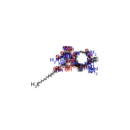 CCCCCCCCCCCCCCCC(=O)NS(=O)(=O)CCCC(=O)N[C@@H](CCC(=O)O)C(=O)N[C@@H](CO)C(=O)N[C@H](CCC(N)=O)C(=O)N[C@@H](Cc1c[nH]cn1)C(=O)N[C@@H](CCC(=O)O)C(=O)N[C@@H](CCCC)C(=O)N[C@H]1CCC(=O)NCCCC[C@@H](C(N)=O)NC(=O)[C@H](Cc2c[nH]c3ccccc23)NC(=O)[C@H](CCCNC(=N)N)NC(=O)[C@@H](Cc2ccccc2)NC(=O)[C@@H]2C[C@@H](O)CN2C1=O